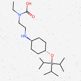 CCN(CCN[C@H]1CC[C@H](O[Si](C(C)C)(C(C)C)C(C)C)CC1)C(=O)O